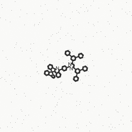 c1ccc(-c2cc(-c3ccccc3)cc(-c3cc(-c4cc(-c5ccccc5)cc(-c5ccccc5)c4)nc(-c4ccc(-c5nc6c(c7ccccc57)C5(c7ccccc7-c7ccccc75)c5ccccc5-6)cc4)n3)c2)cc1